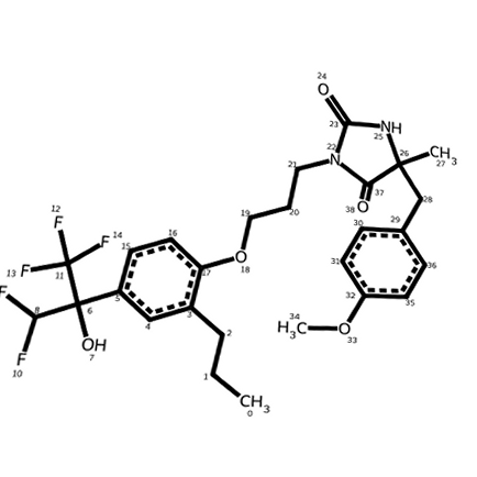 CCCc1cc(C(O)(C(F)F)C(F)(F)F)ccc1OCCCN1C(=O)NC(C)(Cc2ccc(OC)cc2)C1=O